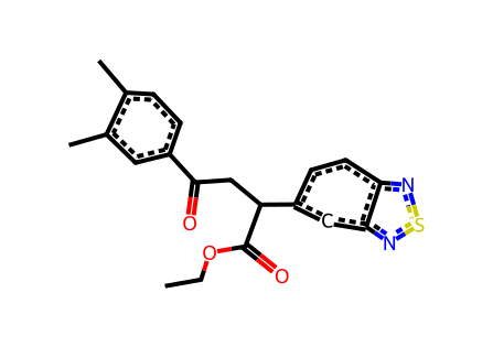 CCOC(=O)C(CC(=O)c1ccc(C)c(C)c1)c1ccc2nsnc2c1